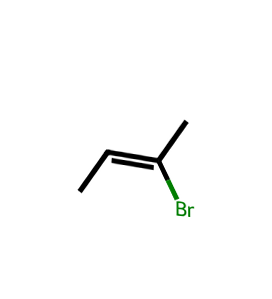 C/C=C(/C)Br